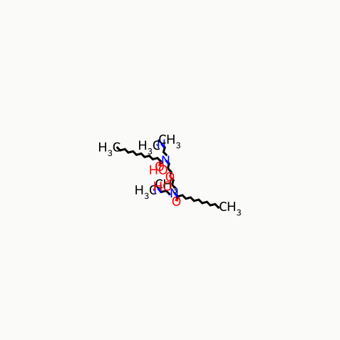 CCCCCCCCCCCC(=O)N(CCCN(C)C)CC(O)COCC(O)CN(CCCN(C)C)C(=O)CCCCCCCCCCC